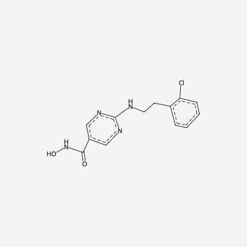 O=C(NO)c1cnc(NCCc2ccccc2Cl)nc1